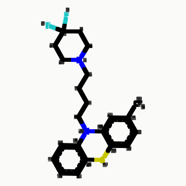 FC1(F)CCN(CCCCN2c3ccccc3Sc3ccc(C(F)(F)F)cc32)CC1